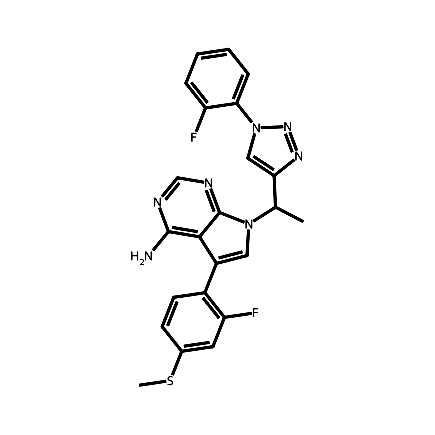 CSc1ccc(-c2cn(C(C)c3cn(-c4ccccc4F)nn3)c3ncnc(N)c23)c(F)c1